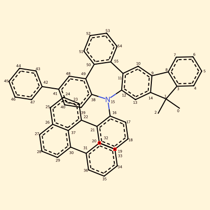 CC1(C)c2ccccc2-c2cc3c(cc21)N(c1ccccc1-c1cccc2cccc(-c4ccccc4)c12)c1ccc(-c2ccccc2)cc1-c1ccccc1-3